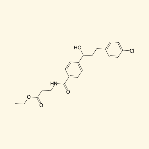 CCOC(=O)CCNC(=O)c1ccc(C(O)CCc2ccc(Cl)cc2)cc1